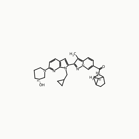 Cc1c(-c2cc3ccc(N4CCC[C@@H](O)C4)nc3n2CC2CC2)nn2cc(C(=O)N3CC4CCC3[C@@H]4N)ccc12